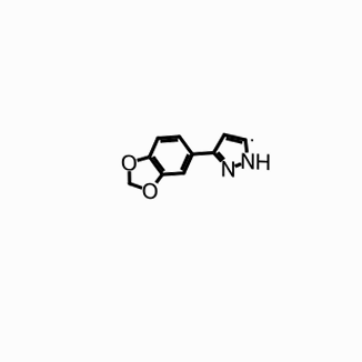 [c]1cc(-c2ccc3c(c2)OCO3)n[nH]1